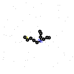 c1cc(-c2ccc(-c3cccc(-c4cccc5c4sc4ccccc45)c3)cc2)cc(-c2cnc3c4ccc(-c5ccc6ccccc6c5)cc4c4cc(-c5ccc6ccccc6c5)ccc4c3n2)c1